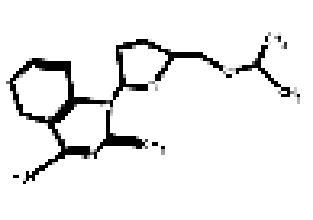 C=C1N=C(N)C2=C(C=CCC2)N1C1CCC(COC(C)C)O1